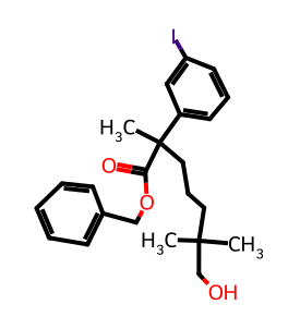 CC(C)(CO)CCCC(C)(C(=O)OCc1ccccc1)c1cccc(I)c1